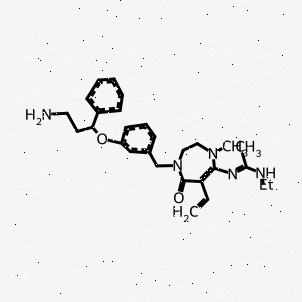 C=CC1=C(/N=C(\C)NCC)N(C)CCN(Cc2cccc(OC(CCN)c3ccccc3)c2)C1=O